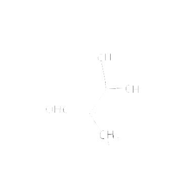 CC(C)[C@H](C)C=O